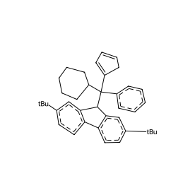 CC(C)(C)c1ccc2c(c1)C(C(C1=CC=CC1)(c1ccccc1)C1CCCCC1)c1cc(C(C)(C)C)ccc1-2